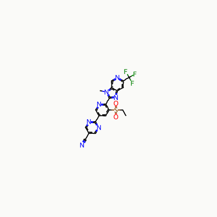 CCS(=O)(=O)c1cc(-c2ncc(C#N)cn2)cnc1-c1nc2cc(C(F)(F)F)ncc2n1C